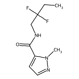 CCC(F)(F)CNC(=O)c1ccnn1C